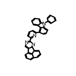 c1ccc(-n2c3ccccc3c3c(-c4cccc(-c5ncc6c(n5)-c5cccc7cccc-6c57)n4)cccc32)cc1